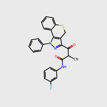 N#CC(C(=O)Nc1cccc(F)c1)C(=O)c1nn(-c2ccccc2)c2c1CSc1ccccc1-2